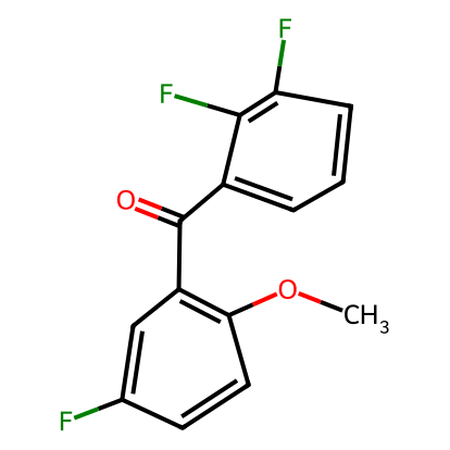 COc1ccc(F)cc1C(=O)c1cccc(F)c1F